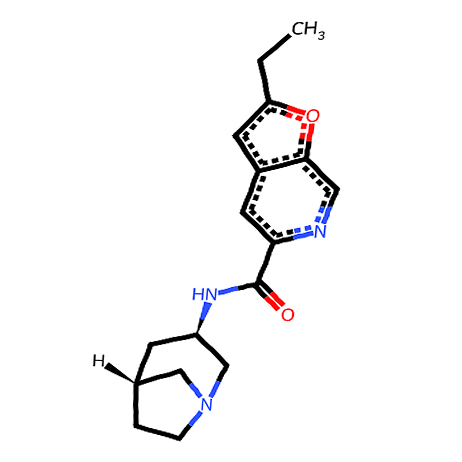 CCc1cc2cc(C(=O)N[C@@H]3C[C@H]4CCN(C4)C3)ncc2o1